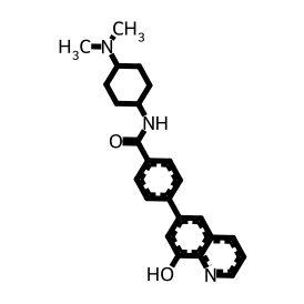 CN(C)C1CCC(NC(=O)c2ccc(-c3cc(O)c4ncccc4c3)cc2)CC1